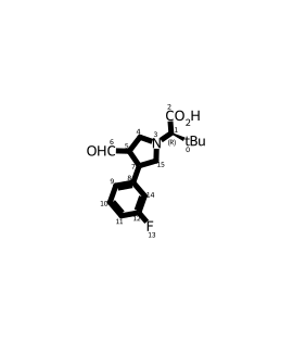 CC(C)(C)[C@H](C(=O)O)N1CC(C=O)C(c2cccc(F)c2)C1